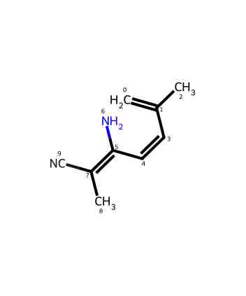 C=C(C)/C=C\C(N)=C(/C)C#N